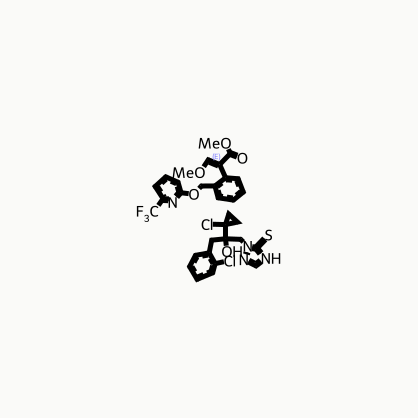 CO/C=C(/C(=O)OC)c1ccccc1COc1cccc(C(F)(F)F)n1.OC(Cc1ccccc1Cl)(Cn1nc[nH]c1=S)C1(Cl)CC1